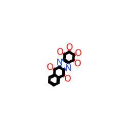 O=C1c2ccccc2C(=O)c2nc3c(=O)c(=O)c(=O)c(=O)c3nc21